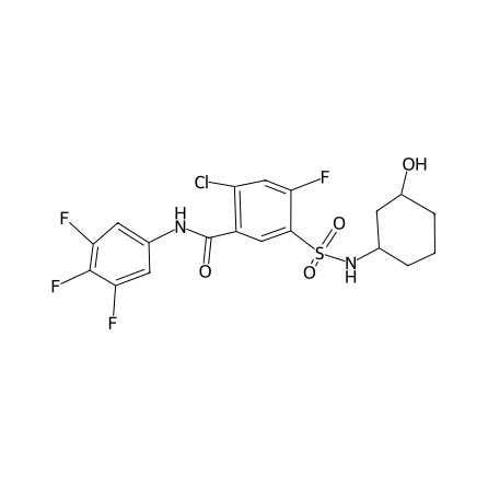 O=C(Nc1cc(F)c(F)c(F)c1)c1cc(S(=O)(=O)NC2CCCC(O)C2)c(F)cc1Cl